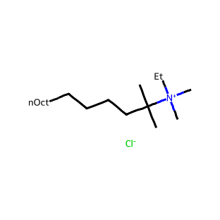 CCCCCCCCCCCCC(C)(C)[N+](C)(C)CC.[Cl-]